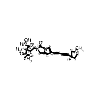 CN1CC[C@](F)(C#CC#Cc2cc3n(c2)C(=O)N(CC[C@](C)(C(=O)NO)S(C)(=O)=O)C3)C1